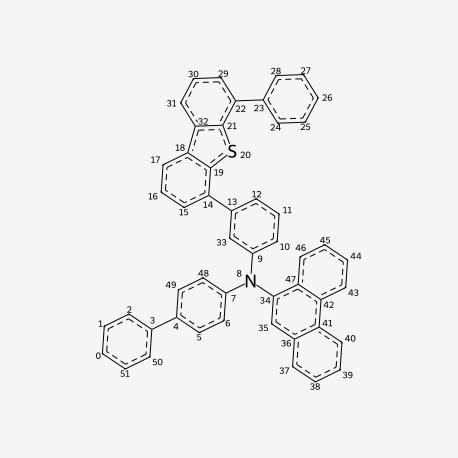 c1ccc(-c2ccc(N(c3cccc(-c4cccc5c4sc4c(-c6ccccc6)cccc45)c3)c3cc4ccccc4c4ccccc34)cc2)cc1